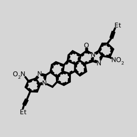 CCC#Cc1cc([N+](=O)[O-])c2nc3n(c2c1)Cc1ccc2c4ccc5c6c(ccc(c7ccc-3c1c72)c46)c(=O)n1c2cc(C#CCC)cc([N+](=O)[O-])c2nc51